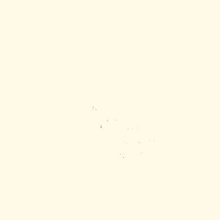 COc1ccc2nccc(C(O)CC[C@@H]3CCN(CCCSC4CCC4)C[C@@H]3C(=O)O)c2c1